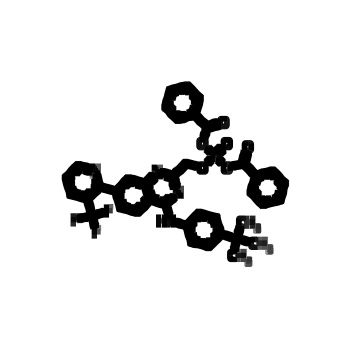 CC(C)(C)c1ccc(Nc2nc(COP(=O)(OC(=O)c3ccccc3)OC(=O)c3ccccc3)nc3cc(-c4ncccc4C(F)(F)F)ccc23)cc1